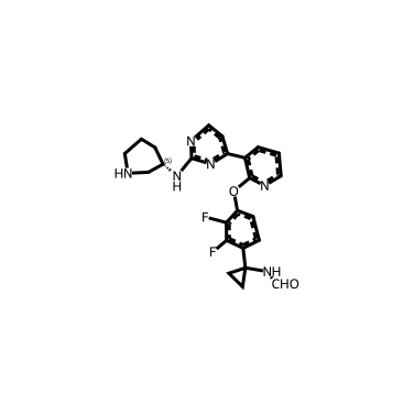 O=CNC1(c2ccc(Oc3ncccc3-c3ccnc(N[C@H]4CCCNC4)n3)c(F)c2F)CC1